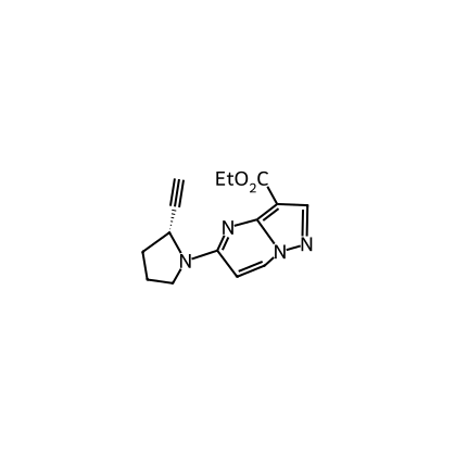 C#C[C@H]1CCCN1c1ccn2ncc(C(=O)OCC)c2n1